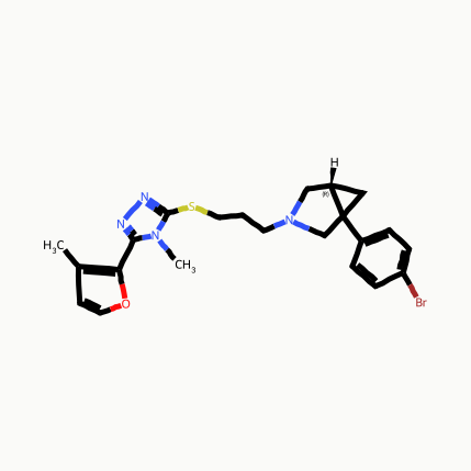 Cc1ccoc1-c1nnc(SCCCN2C[C@@H]3CC3(c3ccc(Br)cc3)C2)n1C